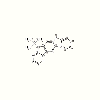 CC(C)(C)n1c2ccccc2c2cc3c(cc21)sc1ccccc13